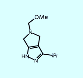 COCN1Cc2[nH]nc(C(C)C)c2C1